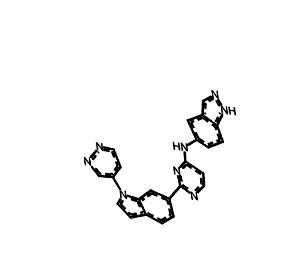 c1cc(-n2ccc3ccc(-c4nccc(Nc5ccc6[nH]ncc6c5)n4)cc32)cnn1